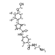 Cc1cc(NC(=O)c2ncc(-c3ccc(OCC#N)c(F)c3F)n2C)ccc1C(=O)NCCN